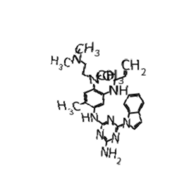 C=CC(=O)Nc1cc(Nc2nc(N)nc(-n3ccc4ccccc43)n2)c(C)cc1N(C)CCN(C)C